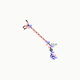 C#CCOCC(COCC#C)(COCC#C)NC(=O)CCOCCOCCOCCOCCOCCOCCNC(=O)CC[C@H](NC(=O)c1ccc(NCc2cnc3nc(C)[nH]c(=O)c3n2)cc1)C(=O)O